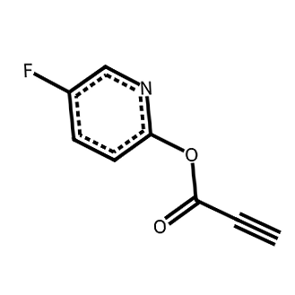 C#CC(=O)Oc1ccc(F)cn1